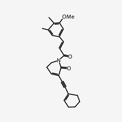 COc1cc(/C=C/C(=O)N2CCC=C(C#CC3=CCCCC3)C2=O)cc(C)c1C